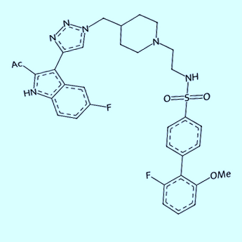 COc1cccc(F)c1-c1ccc(S(=O)(=O)NCCN2CCC(Cn3cc(-c4c(C(C)=O)[nH]c5ccc(F)cc45)nn3)CC2)cc1